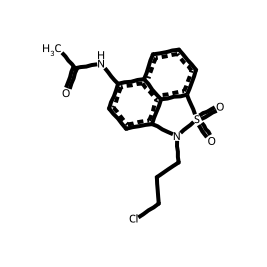 CC(=O)Nc1ccc2c3c(cccc13)S(=O)(=O)N2CCCCl